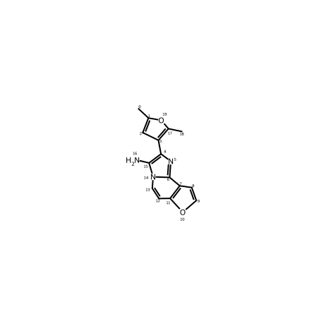 Cc1cc(-c2nc3c4ccoc4ccn3c2N)c(C)o1